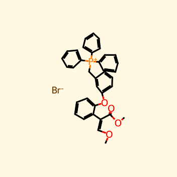 COC=C(C(=O)OC)c1ccccc1Oc1cccc(C[P+](c2ccccc2)(c2ccccc2)c2ccccc2)c1.[Br-]